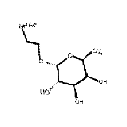 CC(=O)NCCO[C@@H]1O[C@@H](C)[C@@H](O)[C@@H](O)[C@@H]1O